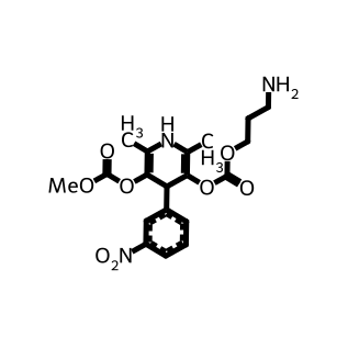 COC(=O)OC1=C(C)NC(C)=C(OC(=O)OCCCN)C1c1cccc([N+](=O)[O-])c1